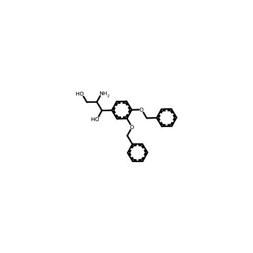 NC(CO)C(O)c1ccc(OCc2ccccc2)c(OCc2ccccc2)c1